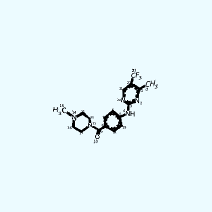 Cc1nc(Nc2ccc(C(=O)N3CCN(C)CC3)cc2)ncc1C(F)(F)F